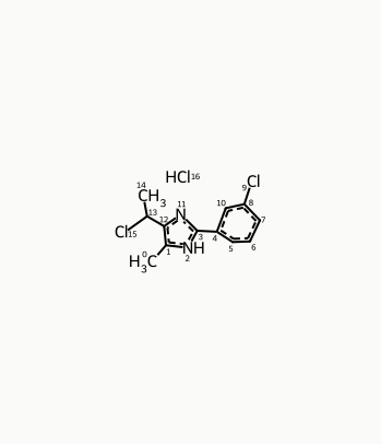 Cc1[nH]c(-c2cccc(Cl)c2)nc1C(C)Cl.Cl